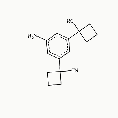 N#CC1(c2cc(N)cc(C3(C#N)CCC3)c2)CCC1